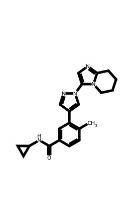 Cc1ccc(C(=O)NC2CC2)cc1-c1cnn(-c2cnc3n2CCCC3)c1